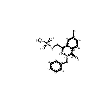 CS(=O)(=O)OCc1nn(Cc2ccccc2)c(=O)c2ccc(I)cc12